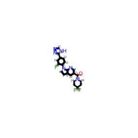 O=C(c1cnc2c(ccn2-c2ccc(-c3nnc[nH]3)cc2F)c1)N1CCC(F)(F)CC1